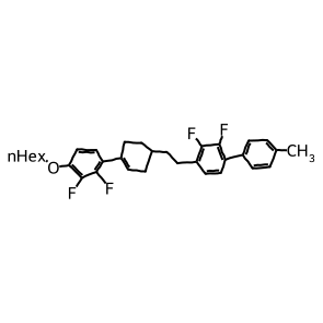 CCCCCCOc1ccc(C2=CCC(CCc3ccc(-c4ccc(C)cc4)c(F)c3F)CC2)c(F)c1F